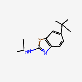 CC(C)Nc1nc2ccc(C(C)(C)C)cc2s1